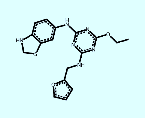 CCOc1nc(NCc2ccco2)nc(Nc2ccc3c(c2)SCN3)n1